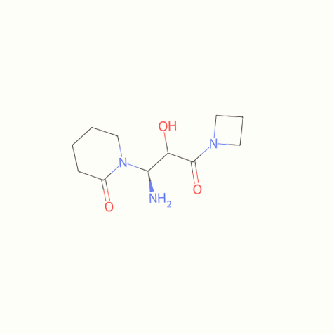 N[C@H](C(O)C(=O)N1CCC1)N1CCCCC1=O